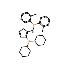 Cc1ccccc1P(c1ccccc1C)[C@H](C)C1=C(P(C2CCCCC2)C2CCCCC2)C=CC1